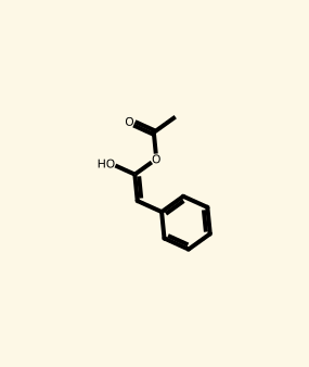 CC(=O)OC(O)=Cc1ccccc1